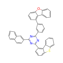 c1cc(-c2nc(-c3ccc4ccccc4c3)nc(-c3cccc4sc5ccccc5c34)n2)cc(-c2cccc3oc4ccccc4c23)c1